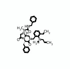 C=CCN(N)c1c(C=C)cccc1CN1C[C@H]2N(C(=O)CN2N(C)C(=O)NCc2ccccc2)[C@@H](Cc2ccccc2)C1=O